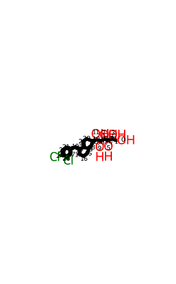 OC[C@@H](O)[C@@H](O)[C@H](O)[C@@H](O)C(O)=C1C=C2CCCC(=Cc3ccc(Cl)c(Cl)c3)C2=CC1